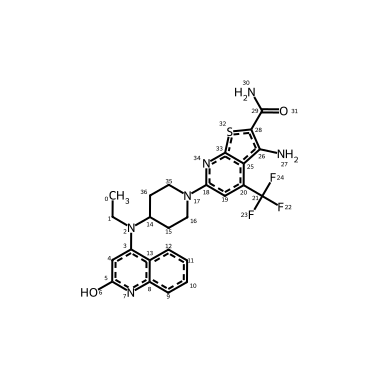 CCN(c1cc(O)nc2ccccc12)C1CCN(c2cc(C(F)(F)F)c3c(N)c(C(N)=O)sc3n2)CC1